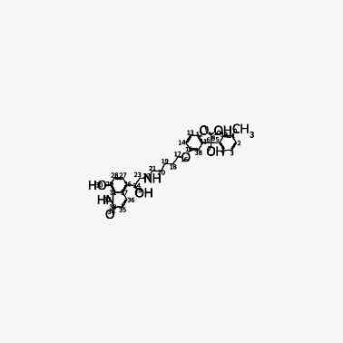 Cc1cccc(C(O)(C(=O)O)c2cccc(OCCCCCNCC(O)c3ccc(O)c4[nH]c(=O)ccc34)c2)c1